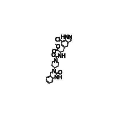 COC(=O)C(Cc1cc(Cl)c2[nH]ncc2c1)NC(=O)N1CCC(N2Cc3ccccc3NC2=O)CC1